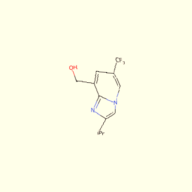 CC(C)c1cn2cc(C(F)(F)F)cc(CO)c2n1